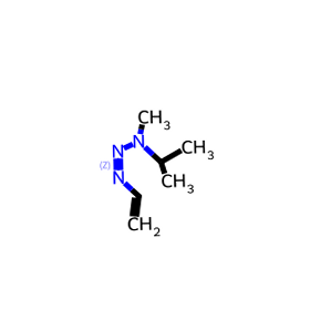 C=C/N=N\N(C)C(C)C